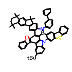 CC(C)(C)c1ccc2c(c1)c1c3c(oc4ccccc43)c3c4c1n2-c1cc2sc5ccccc5c2cc1B4N(c1cccc(-c2ccccc2)c1)c1cc2c(cc1-3)-c1cc3c(cc1C2(C)C)C(C)(C)CCC3(C)C